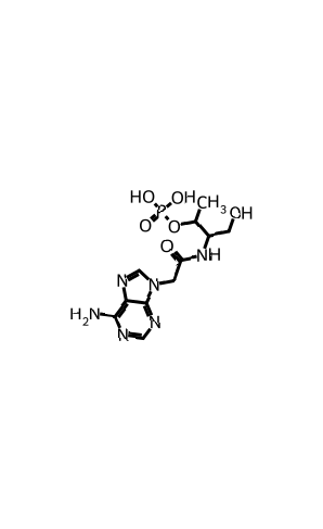 CC(OP(=O)(O)O)C(CO)NC(=O)Cn1cnc2c(N)ncnc21